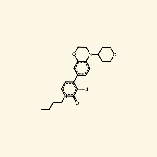 CCCCn1ccc(-c2ccc3c(c2)OCCN3C2CCOCC2)c(Cl)c1=O